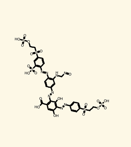 O=NCNc1cc(N=Nc2c(C(=O)O)cc(O)c(N=Nc3ccc(S(=O)(=O)CCOS(=O)(=O)O)cc3)c2O)ccc1N=Nc1ccc(S(=O)(=O)CCOS(=O)(=O)O)cc1S(=O)(=O)O